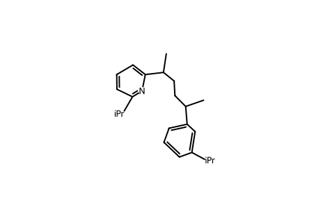 CC(C)c1cccc(C(C)CCC(C)c2cccc(C(C)C)n2)c1